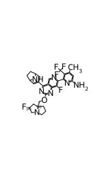 Cc1cc(N)nc(-c2ncc3c(C4=CC5CCC(C4)N5)nc(OC[C@@]45CCCN4C[C@H](F)C5)nc3c2F)c1C(F)(F)F